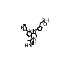 C/C(N=N)=C1/NCCC(Nc2cccc(CC(=O)O)c2)c2cc(-c3cnn(C)c3)ccc21